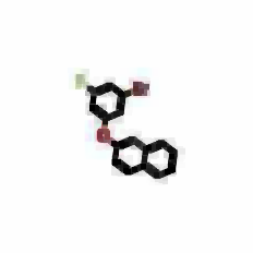 Fc1cc(Br)cc(Oc2ccc3ccccc3c2)c1